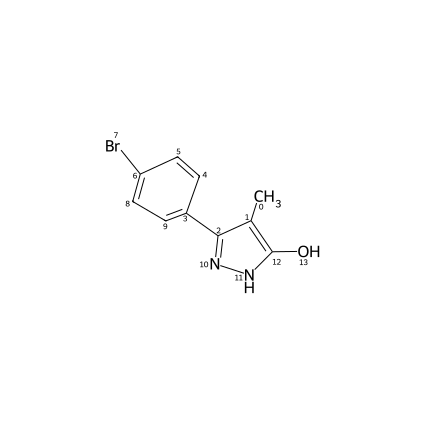 Cc1c(-c2ccc(Br)cc2)n[nH]c1O